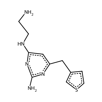 NCCNc1cc(Cc2ccsc2)nc(N)n1